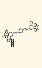 CCC(C)Oc1c(OC)cc(/C=C/c2ccc(/C=C/c3cc(OC)c(OC(C)C)c(C(=O)N=[N+]=[N-])c3)cc2)cc1OC